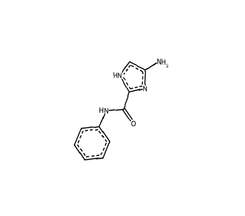 Nc1c[nH]c(C(=O)Nc2ccccc2)n1